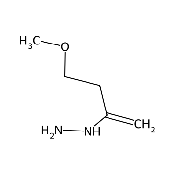 C=C(CCOC)NN